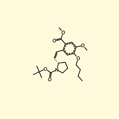 CCCCOc1cc(/C=C\[C@@H]2CCCN2C(=O)OC(C)(C)C)c(C(=O)OC)cc1OC